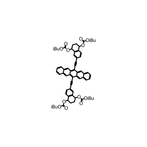 CC(C)COC(=O)OC1CCC(OC(=O)OCC(C)C)c2cc(C#Cc3c4cc5ccccc5cc4c(C#Cc4ccc5c(c4)C(OC(=O)OCC(C)C)CCC5OC(=O)OCC(C)C)c4cc5ccccc5cc34)ccc21